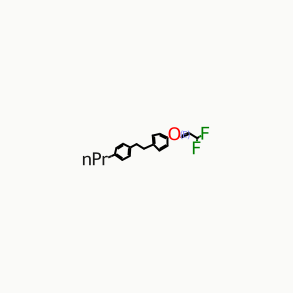 CCCc1ccc(CCc2ccc(O/C=C/C(F)F)cc2)cc1